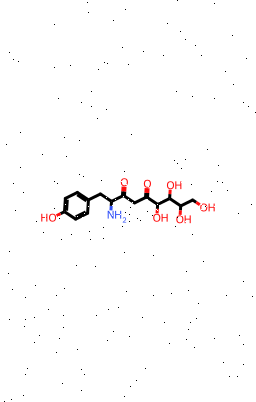 NC(Cc1ccc(O)cc1)C(=O)CC(=O)C(O)C(O)C(O)CO